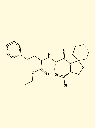 CCOC(=O)C(CCc1ccccc1)N[C@@H](C)C(=O)N1[C@H](C(=O)O)CCC12CCCCC2